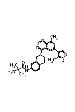 Cc1[nH]ncc1-c1cc(C)c2ncnc(N3CCc4ccc(NC(=O)C(C)(C)N)cc4C3)c2c1